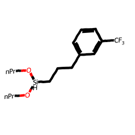 CCCO[SiH](CCCc1cccc(C(F)(F)F)c1)OCCC